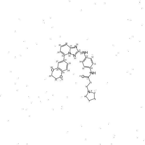 O=C(CCN1CCCC1)Nc1ccc(Nc2nc3cccc(-c4ccc5c(c4)OCCO5)n3n2)cc1